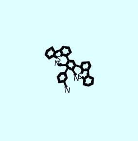 N#Cc1cccc(-c2c(C#N)c(-c3cccc4c3sc3ccccc34)cc(-c3cccc4c3sc3ccccc34)c2C#N)c1